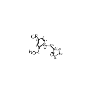 OCc1cc(Cl)ccc1OCC1CCCO1